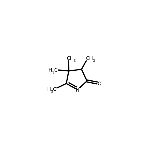 CC1=NC(=O)C(C)C1(C)C